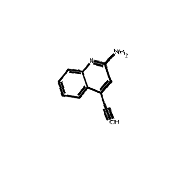 C#Cc1cc(N)nc2ccccc12